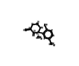 C[C@@]1(c2cc(N)ccc2F)COCC(=S)N1